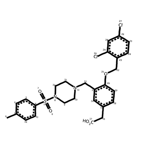 Cc1ccc(S(=O)(=O)N2CCN(Cc3cc(CC(=O)O)ccc3OCc3ccc(Cl)cc3Cl)CC2)cc1